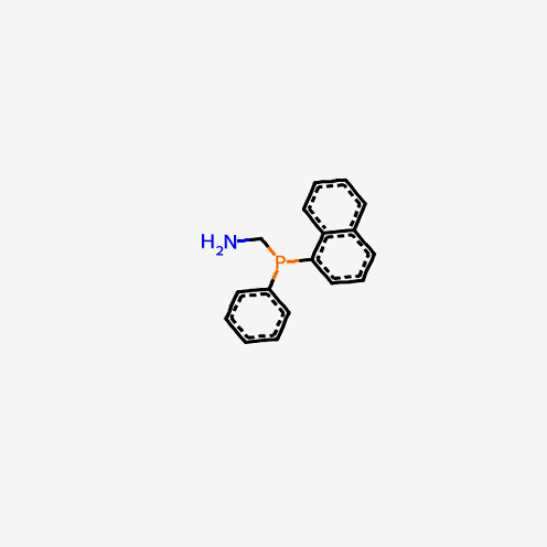 NCP(c1ccccc1)c1cccc2ccccc12